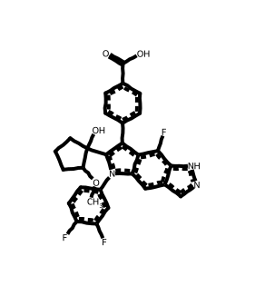 COC1CCCC1(O)c1c(-c2ccc(C(=O)O)cc2)c2c(F)c3[nH]ncc3cc2n1-c1ccc(F)c(F)c1